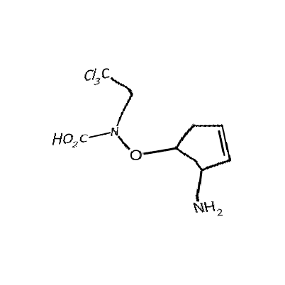 NC1C=CCC1ON(CC(Cl)(Cl)Cl)C(=O)O